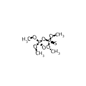 COP(=O)(OC)OP(=S)(OC)OC